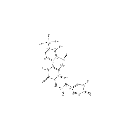 C[C@@H](Nc1nn(C)c(=O)c2cc(=O)n(-c3ccc(=O)n(C)c3)cc12)c1cccc(C(F)(F)F)c1F